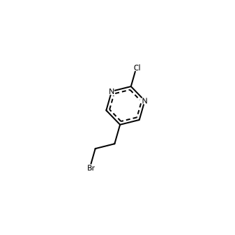 Clc1ncc(CCBr)cn1